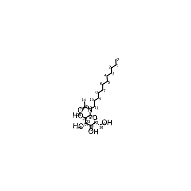 CCCCCCCCCCCCN(C(C)=O)C1O[C@H](CO)[C@@H](O)[C@H](O)[C@H]1O